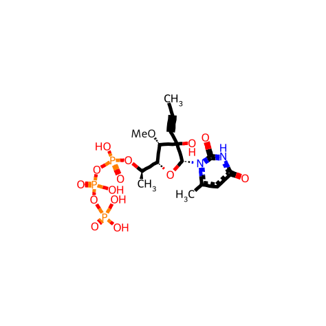 CC#CC1(O)[C@@H](OC)[C@@H]([C@@H](C)OP(=O)(O)OP(=O)(O)OP(=O)(O)O)O[C@H]1n1c(C)cc(=O)[nH]c1=O